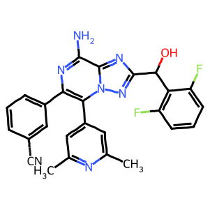 Cc1cc(-c2c(-c3cccc(C#N)c3)nc(N)c3nc(C(O)c4c(F)cccc4F)nn23)cc(C)n1